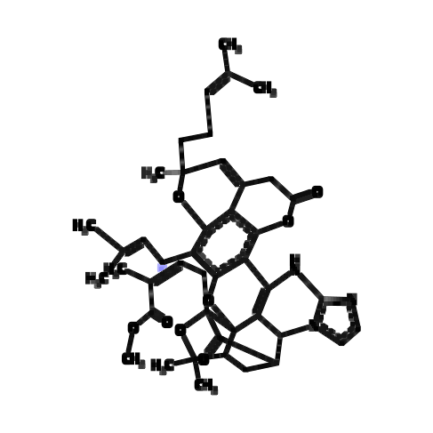 COC(=O)/C(C)=C\CC12OC(C)(C)C3CC(C1=O)C1C4=C(Nc5nccn51)c1c(c(CC=C(C)C)c5c6c1OC(=O)CC6=CC(C)(CCC=C(C)C)O5)OC432